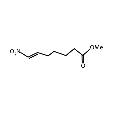 COC(=O)CCCCC=C[N+](=O)[O-]